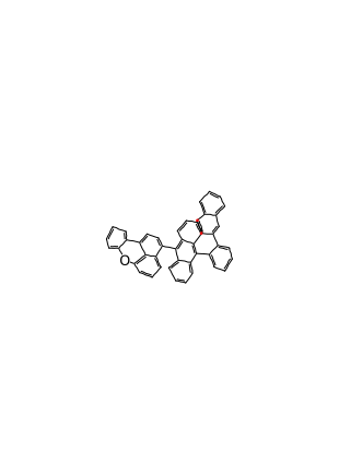 c1ccc2c(c1)Oc1cccc3c(-c4c5ccccc5c(-c5ccccc5-c5ccc6ccccc6c5)c5ccccc45)ccc-2c13